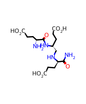 NC(=O)[C@@H](CCC(=O)O)NC[C@@H](CCC(=O)O)NC(=O)[C@H](N)CCC(=O)O